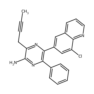 CC#CCc1nc(-c2cc(Cl)c3ncccc3c2)c(-c2ccccc2)nc1N